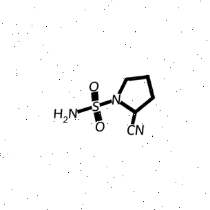 N#CC1CCCN1S(N)(=O)=O